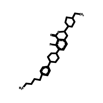 CCCCCc1ccc(C2CCC(c3ccc4c(c3F)C(=O)OC(C3CCC(CC)CC3)C4)CC2)cc1